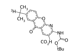 [2H]C(C)(C)c1ccc2oc3nc(NC(=O)OC(C)(C)C)c(C(=O)O)cc3c(=O)c2c1